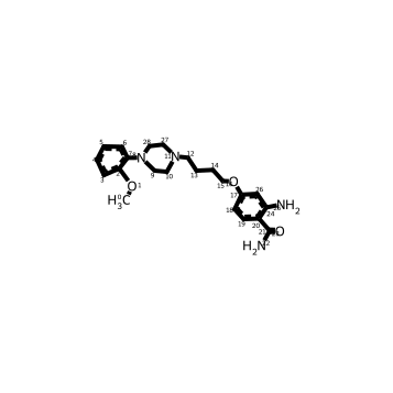 COc1ccccc1N1CCN(CCCCOc2ccc(C(N)=O)c(N)c2)CC1